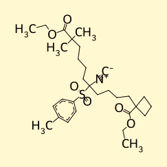 [C-]#[N+]C(CCCCC(C)(C)C(=O)OCC)(CCCCC1(C(=O)OCC)CCC1)S(=O)(=O)c1ccc(C)cc1